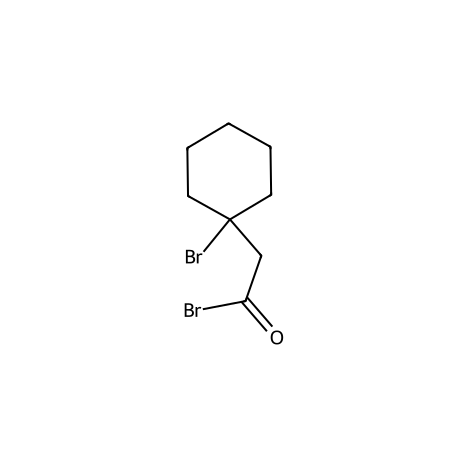 O=C(Br)CC1(Br)CCCCC1